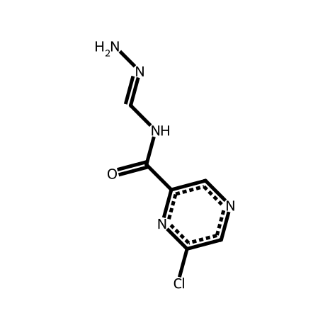 NN=CNC(=O)c1cncc(Cl)n1